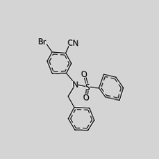 N#Cc1cc(N(Cc2ccccc2)S(=O)(=O)c2ccccc2)ccc1Br